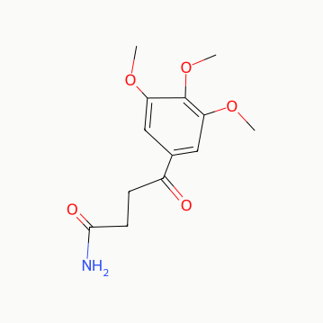 COc1cc(C(=O)CCC(N)=O)cc(OC)c1OC